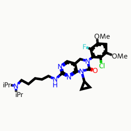 COc1cc(OC)c(Cl)c(N2Cc3cnc(NCCCCCN(C(C)C)C(C)C)nc3N(C3CC3)C2=O)c1F